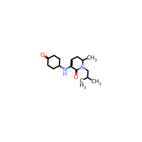 CC(C)CN1C(=O)C(NC2CCC(=O)CC2)=CCC1C